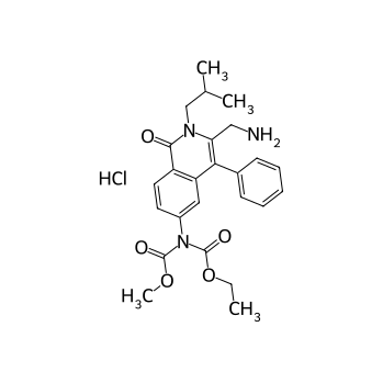 CCOC(=O)N(C(=O)OC)c1ccc2c(=O)n(CC(C)C)c(CN)c(-c3ccccc3)c2c1.Cl